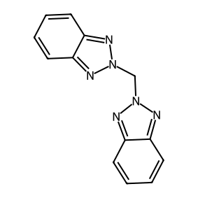 c1ccc2nn(Cn3nc4ccccc4n3)nc2c1